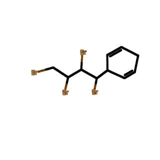 BrCC(Br)C(Br)C(Br)C1C=CCC=C1